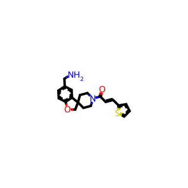 NCc1ccc2c(c1)C1(CCN(C(=O)/C=C/c3cccs3)CC1)CO2